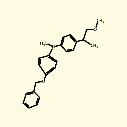 COCC(C)c1ccc(N(C)c2ccc(OCc3ccccc3)cc2)cc1